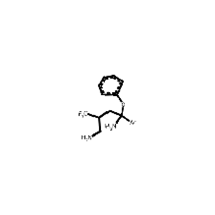 CC(=O)C(N)(CC(CN)C(F)(F)F)Oc1ccccc1